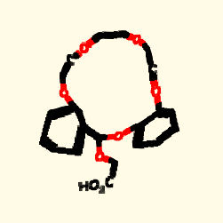 O=C(O)COC1Oc2ccccc2OCCOCCOCCOc2ccccc21